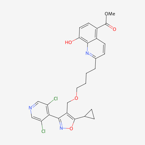 COC(=O)c1ccc(O)c2nc(CCCCOCc3c(-c4c(Cl)cncc4Cl)noc3C3CC3)ccc12